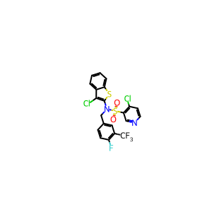 O=S(=O)(c1cnccc1Cl)N(Cc1ccc(F)c(C(F)(F)F)c1)c1sc2ccccc2c1Cl